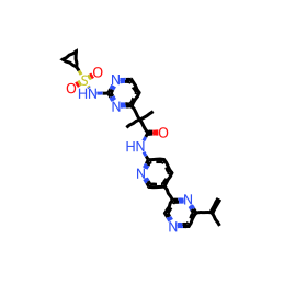 C=C(C)c1cncc(-c2ccc(NC(=O)C(C)(C)c3ccnc(NS(=O)(=O)C4CC4)n3)nc2)n1